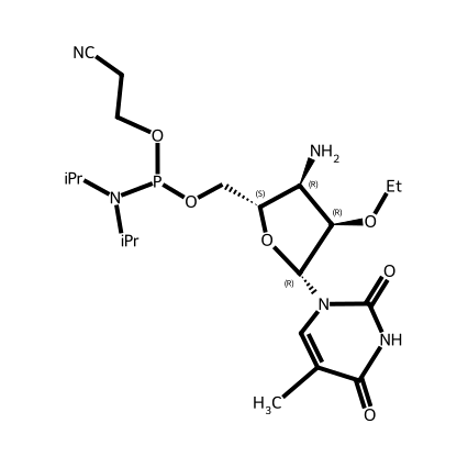 CCO[C@@H]1[C@H](N)[C@@H](COP(OCCC#N)N(C(C)C)C(C)C)O[C@H]1n1cc(C)c(=O)[nH]c1=O